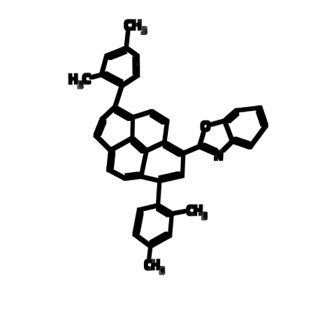 Cc1ccc(-c2ccc3ccc4c(-c5ccc(C)cc5C)cc(-c5nc6ccccc6o5)c5ccc2c3c54)c(C)c1